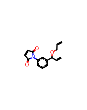 C=CCOC(C=C)c1cccc(N2C(=O)C=CC2=O)c1